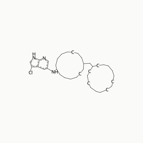 Clc1c[nH]c2ncc(NC3CCCCCCCC(CC4CCCCCCCCCCCCCC4)CCCCCC3)cc12